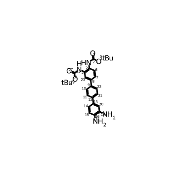 CC(C)(C)OC(=O)Nc1ccc(-c2ccc(-c3ccc(N)c(N)c3)cc2)cc1NC(=O)OC(C)(C)C